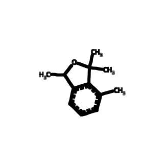 Cc1cccc2c1C(C)(C)OC2C